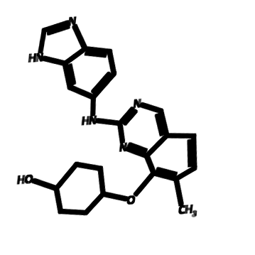 Cc1ccc2cnc(Nc3ccc4nc[nH]c4c3)nc2c1OC1CCC(O)CC1